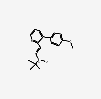 COc1ccc(-c2cccnc2C=N[S@@+]([O-])C(C)(C)C)cc1